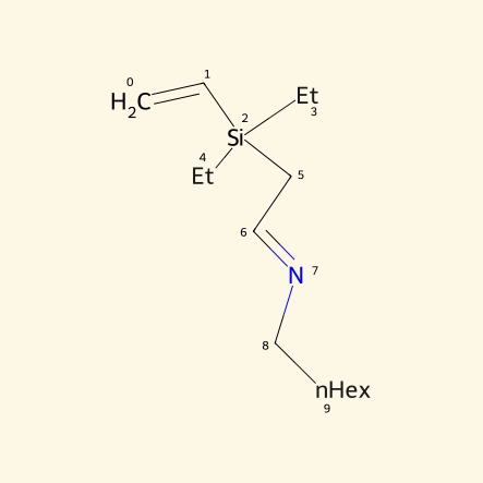 C=C[Si](CC)(CC)CC=NCCCCCCC